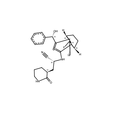 N#C[C@@H](C[C@@H]1CCCNC1=O)NC(=O)[C@@H]1[C@H]2CC[C@H](CC2(F)F)N1C(=O)[C@@H](O)c1ccccc1